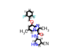 Cc1cc(OCc2c(F)cccc2F)c2nc(C)c(C(=O)NC3CNCC(C#N)C3)n2c1